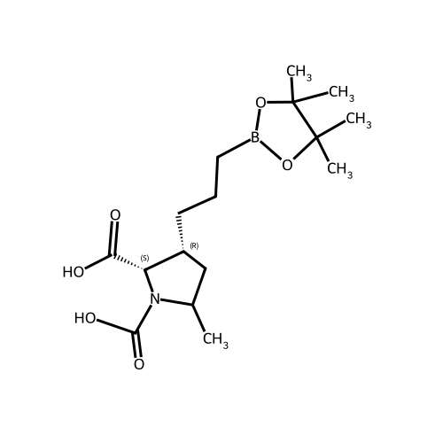 CC1C[C@@H](CCCB2OC(C)(C)C(C)(C)O2)[C@@H](C(=O)O)N1C(=O)O